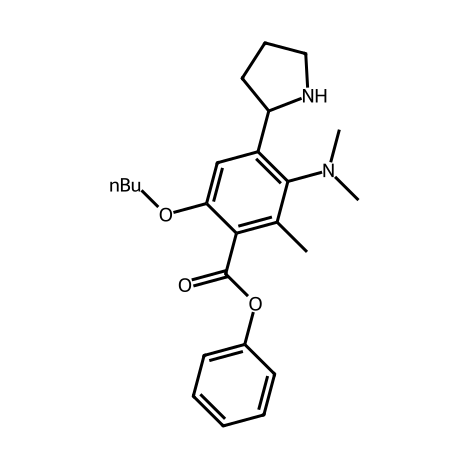 CCCCOc1cc(C2CCCN2)c(N(C)C)c(C)c1C(=O)Oc1ccccc1